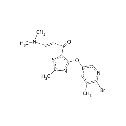 Cc1nc(Oc2cnc(Br)c(C)c2)c(C(=O)/C=C/N(C)C)s1